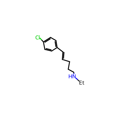 CCNCCC/C=C/c1ccc(Cl)cc1